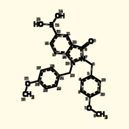 COc1ccc(Cn2c(=O)c3cc(B(O)O)ccc3n2Cc2ccc(OC)cc2)cc1